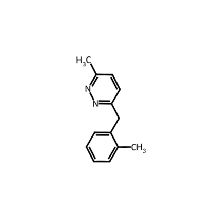 Cc1ccc(Cc2ccccc2C)nn1